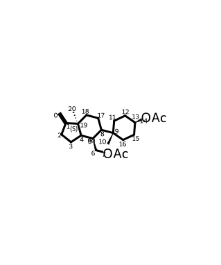 C=C1CCC2[C@H](COC(C)=O)C([C@]3(C)CC[C@@H](OC(C)=O)CC3)CC[C@]12C